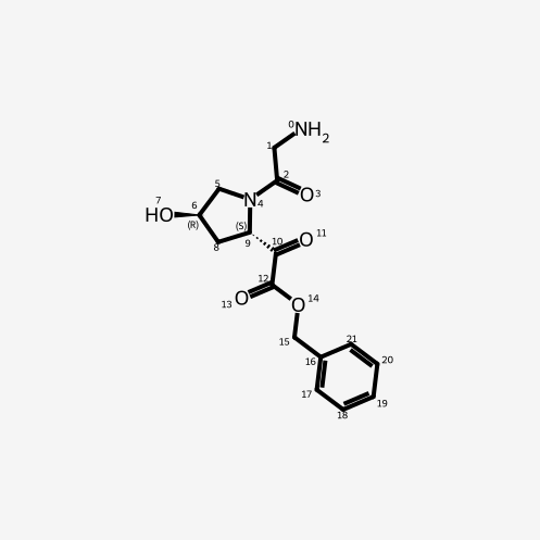 NCC(=O)N1C[C@H](O)C[C@H]1C(=O)C(=O)OCc1ccccc1